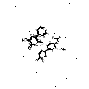 COc1cc(-c2ccc(=O)[nH]n2)ccc1OC(F)F.Cc1[nH]c(=O)c(C#N)cc1-c1ccncc1